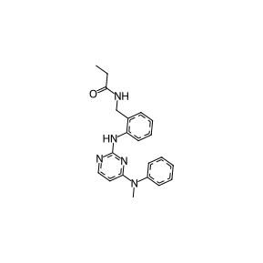 CCC(=O)NCc1ccccc1Nc1nccc(N(C)c2ccccc2)n1